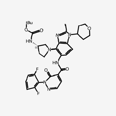 Cc1nc2c(N3CC[C@H](NC(=O)OC(C)(C)C)C3)c(NC(=O)c3ccnn(-c4c(F)cccc4F)c3=O)ccc2n1C1CCOCC1